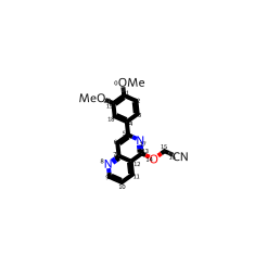 COc1ccc(-c2cc3ncccc3c(OCC#N)n2)cc1OC